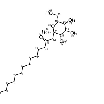 CCCCCCCCCCCCC(=O)C[C@@]1(O)O[C@H](CO)[C@@H](O)[C@H](O)[C@@H]1O